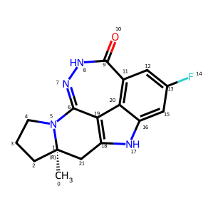 C[C@]12CCCN1C1=NNC(=O)c3cc(F)cc4[nH]c(c1c34)C2